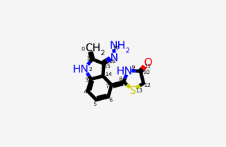 C=C1NC2=CC=CC(=C3NC(=O)CS3)C2C1=NN